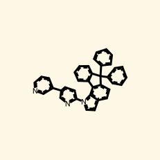 c1ccc(C2(c3ccccc3)c3ccccc3-c3c2ccc2ccn(-c4ccc(-c5cccnc5)cn4)c32)cc1